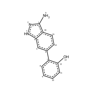 Nc1n[nH]c2cc(-c3ccccc3O)ccc12